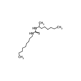 CCCCCCCCCNC(=S)NC(C)CCCCCC